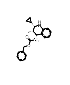 C[C@H]1[C@@H](NC(=O)OCc2ccccc2)c2ccccc2N[C@H]1C1CC1